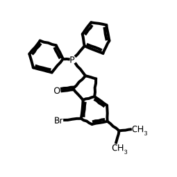 CC(C)c1cc(Br)c2c(c1)CC(P(c1ccccc1)c1ccccc1)C2=O